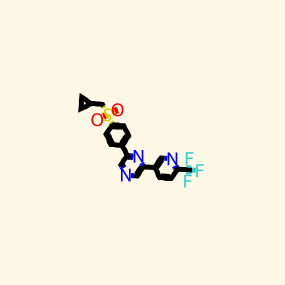 O=S(=O)(CC1CC1)c1ccc(-c2cncc(-c3ccc(C(F)(F)F)nc3)n2)cc1